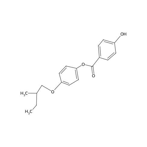 CCC(C)COc1ccc(OC(=O)c2ccc(O)cc2)cc1